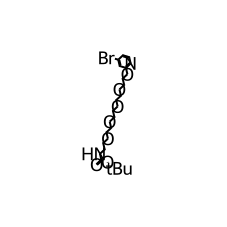 CC(C)(C)OC(=O)NCCOCCOCCOCCOCCOc1cc(Br)ccn1